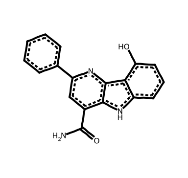 NC(=O)c1cc(-c2ccccc2)nc2c1[nH]c1cccc(O)c12